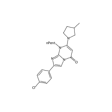 CCCCCn1c(N2CCC(C)C2)cc(=O)n2cc(-c3ccc(Cl)cc3)nc12